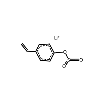 C=Cc1ccc(O[S-](=O)=O)cc1.[Li+]